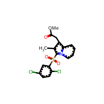 COC(=O)Cc1c(C)c(S(=O)(=O)c2cc(Cl)ccc2Cl)n2ccccc12